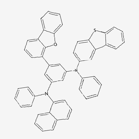 c1ccc(N(c2cc(-c3cccc4c3oc3ccccc34)cc(N(c3ccccc3)c3cccc4ccccc34)c2)c2ccc3sc4ccccc4c3c2)cc1